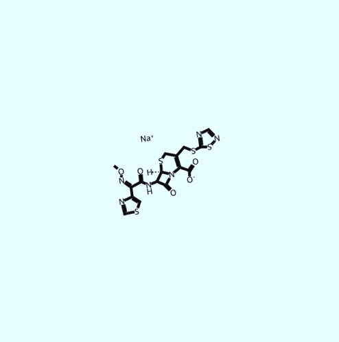 CO/N=C(\C(=O)NC1C(=O)N2C(C(=O)[O-])=C(CSc3ncns3)CS[C@H]12)c1cscn1.[Na+]